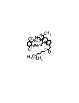 CCCCCNc1nc(N)nc(C)c1Cc1ccc(CC(=O)OCCCCN(C)C)cc1.O=S(=O)(O)c1cc(Cl)ccc1Cl